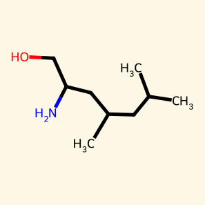 CC(C)CC(C)CC(N)CO